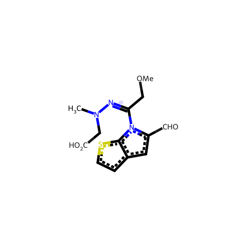 COC/C(=N/N(C)CC(=O)O)n1c(C=O)cc2ccsc21